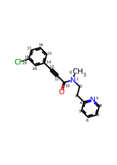 CN(CCc1ccccn1)C(=O)C#Cc1cccc(Cl)c1